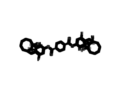 C[C@@]12CCCCCC(Cc3c(F)cc(OC(=O)[C@H]4CC[C@H](C(=O)Oc5cc(F)c6c(c5)[C@@]5(C)CCCCC[C@@H](C6)[C@@H]5N)CC4)cc31)[C@@H]2N